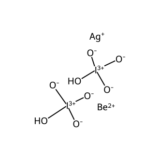 [Ag+].[Be+2].[O-][I+3]([O-])([O-])O.[O-][I+3]([O-])([O-])O